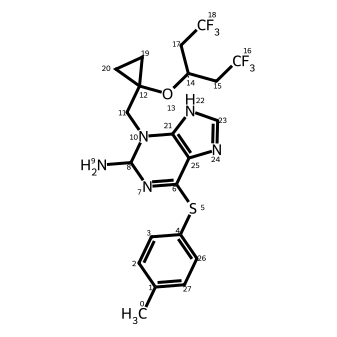 Cc1ccc(SC2=NC(N)N(CC3(O[C](CC(F)(F)F)CC(F)(F)F)CC3)c3[nH]cnc32)cc1